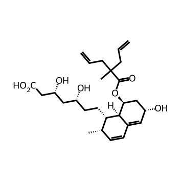 C=CCC(C)(CC=C)C(=O)O[C@H]1C[C@H](O)C=C2C=C[C@H](C)[C@H](CC[C@@H](O)C[C@@H](O)CC(=O)O)[C@H]21